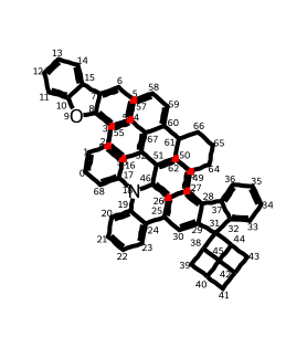 c1cc(-c2cccc3c2oc2ccccc23)cc(N(c2ccccc2-c2ccc3c(c2)C2(c4ccccc4-3)C3CC4CC5CC2C453)c2ccccc2-c2cccc3cccc(C4CCCCC4)c23)c1